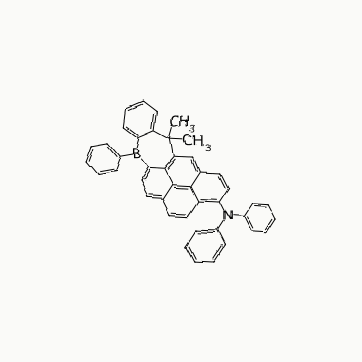 CC1(C)c2ccccc2B(c2ccccc2)c2ccc3ccc4c(N(c5ccccc5)c5ccccc5)ccc5cc1c2c3c54